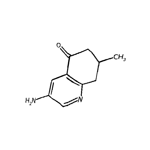 CC1CC(=O)c2cc(N)cnc2C1